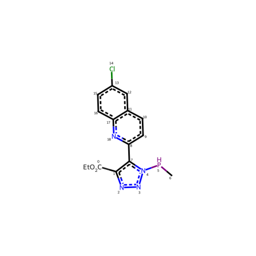 CCOC(=O)c1nnn(PC)c1-c1ccc2cc(Cl)ccc2n1